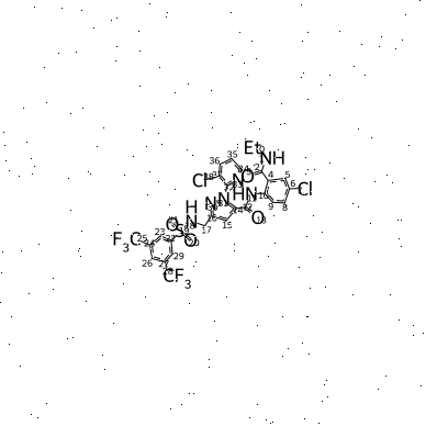 CCNC(=O)c1cc(Cl)ccc1NC(=O)c1cc(CNS(=O)(=O)c2cc(C(F)(F)F)cc(C(F)(F)F)c2)nn1-c1ncccc1Cl